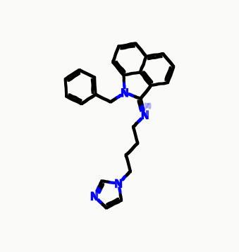 c1ccc(CN2/C(=N\CCCCn3ccnc3)c3cccc4cccc2c34)cc1